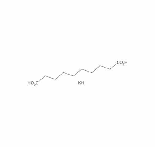 O=C(O)CCCCCCCCC(=O)O.[KH]